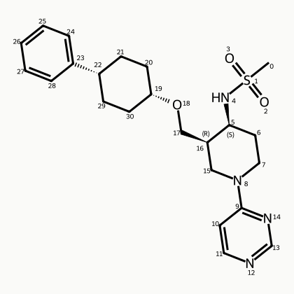 CS(=O)(=O)N[C@H]1CCN(c2ccncn2)C[C@H]1CO[C@H]1CC[C@@H](c2ccccc2)CC1